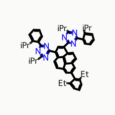 CCc1cccc(CC)c1-c1cc2ccc3c(-c4nc(-c5ccccc5C(C)C)nc(C(C)C)n4)cc(-c4nc(-c5ccccc5C(C)C)nc(C(C)C)n4)c4ccc(c1)c2c34